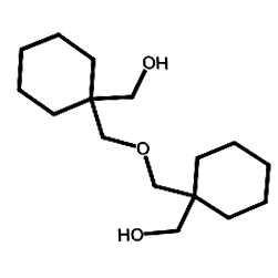 OCC1(COCC2(CO)CCCCC2)CCCCC1